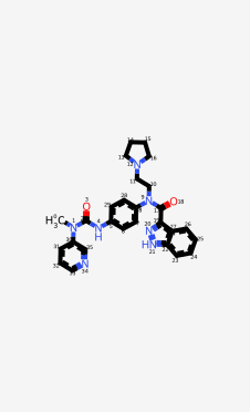 CN(C(=O)Nc1ccc(N(CCN2CCCC2)C(=O)c2n[nH]c3ccccc23)cc1)c1cccnc1